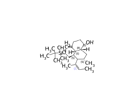 C/C=C(/C)C1[C@@H](CO[Si](C)(C)C(C)(C)C)[C@H]2[C@@H](C[C@@H]1C)[C@@H](O)CC[C@@H]2C